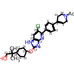 CC(=O)N1CC=C(c2ccc(-c3nc4nc(OC5CCC(C(C)(C)CO)CC5)[nH]c4cc3Cl)cc2)CC1